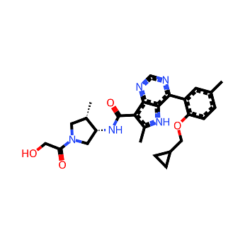 Cc1ccc(OCC2CC2)c(-c2ncnc3c(C(=O)N[C@@H]4CN(C(=O)CO)C[C@@H]4C)c(C)[nH]c23)c1